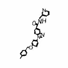 Cc1ccc(COc2ccc(-n3cnc4cc(C(=O)NCc5cccnc5)ccc43)cc2)cc1